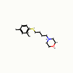 Cc1ccc(SCCCCN2CCOCC2)c(C)c1